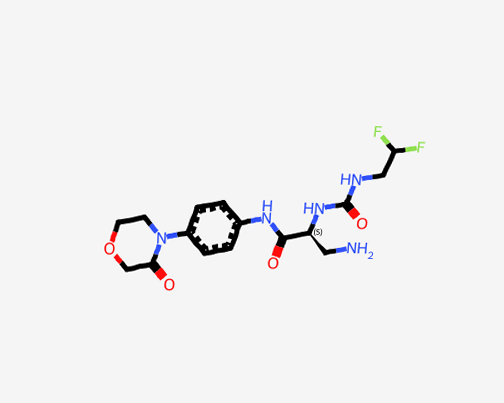 NC[C@H](NC(=O)NCC(F)F)C(=O)Nc1ccc(N2CCOCC2=O)cc1